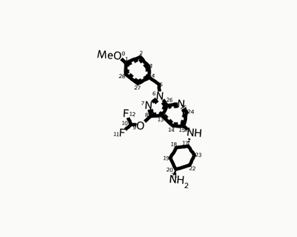 COc1ccc(Cn2nc(OC(F)F)c3cc(N[C@H]4CC[C@H](N)CC4)cnc32)cc1